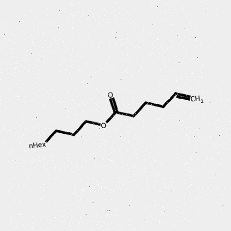 C=CCCCC(=O)OCCCCCCCCC